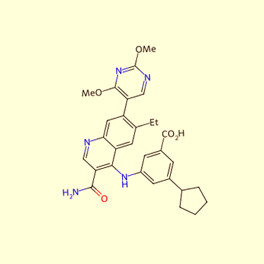 CCc1cc2c(Nc3cc(C(=O)O)cc(C4CCCC4)c3)c(C(N)=O)cnc2cc1-c1cnc(OC)nc1OC